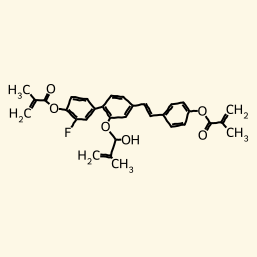 C=C(C)C(=O)Oc1ccc(/C=C/c2ccc(-c3ccc(OC(=O)C(=C)C)c(F)c3)c(OC(O)C(=C)C)c2)cc1